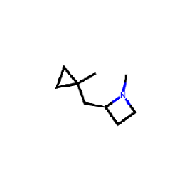 CN1CC[C@H]1CC1(C)CC1